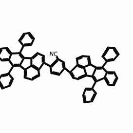 N#Cc1cc(-c2ccc3c4c(cccc24)-c2c-3c(-c3ccccc3)c3ccccc3c2-c2ccccc2)ccc1-c1ccc2c3c(cccc13)-c1c-2c(-c2ccccc2)c2ccccc2c1-c1ccccc1